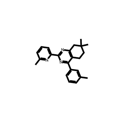 Cc1cccc(-c2nc(-c3cccc(C)n3)nc3c2CCC(C)(C)C3)c1